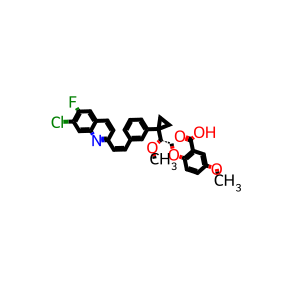 COc1ccc(OC[C@H](OC)C2(c3cccc(/C=C\c4ccc5cc(F)c(Cl)cc5n4)c3)CC2)c(C(=O)O)c1